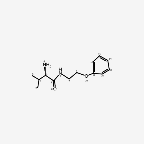 CC(C)[C@@H](N)C(=O)NCCOc1ccccc1